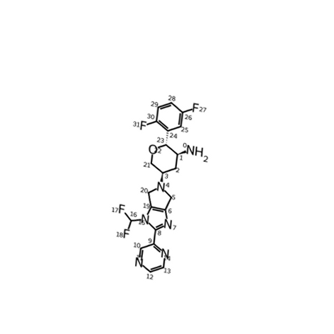 N[C@H]1C[C@@H](N2Cc3nc(-c4cnccn4)n(C(F)F)c3C2)CO[C@@H]1c1cc(F)ccc1F